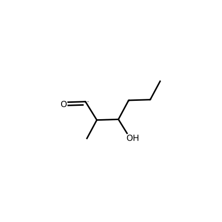 CCCC(O)C(C)[C]=O